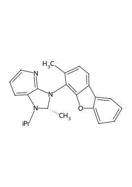 Cc1ccc2c(oc3ccccc32)c1N1c2ncccc2N(C(C)C)[C@H]1C